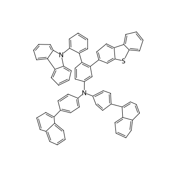 c1ccc(-n2c3ccccc3c3ccccc32)c(-c2ccc(N(c3ccc(-c4cccc5ccccc45)cc3)c3ccc(-c4cccc5ccccc45)cc3)cc2-c2ccc3c(c2)sc2ccccc23)c1